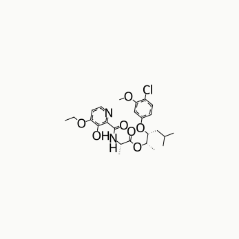 CCOc1ccnc(C(=O)N[C@@H](C)C(=O)O[C@@H](C)[C@@H](CC(C)C)Oc2ccc(Cl)c(OC)c2)c1O